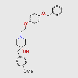 COc1ccc(CC2(O)CCN(CCOc3ccc(OCc4ccccc4)cc3)CC2)cc1